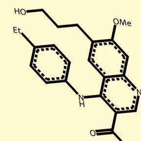 CCc1ccc(Nc2c(C(N)=O)cnc3cc(OC)c(CCCO)cc23)cc1